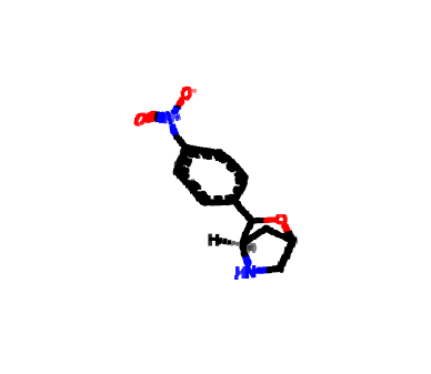 O=[N+]([O-])c1ccc(C2OC3CN[C@@H]2C3)cc1